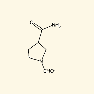 NC(=O)C1CCN([C]=O)C1